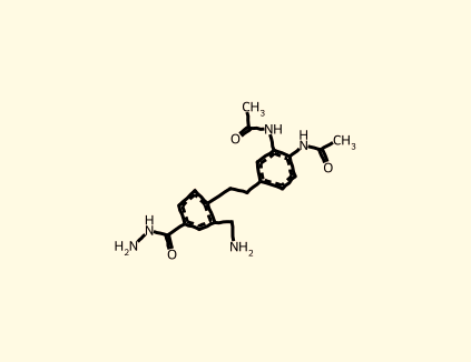 CC(=O)Nc1ccc(CCc2ccc(C(=O)NN)cc2CN)cc1NC(C)=O